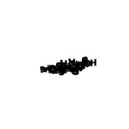 C/C(=N\NC(=O)c1ccc(C(=O)O)cc1N)c1csc(-c2ccc(Br)cc2)c1O